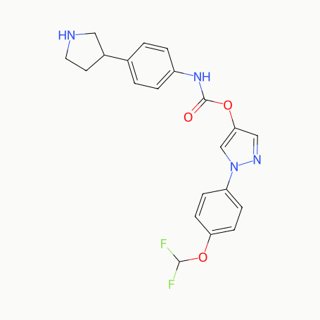 O=C(Nc1ccc(C2CCNC2)cc1)Oc1cnn(-c2ccc(OC(F)F)cc2)c1